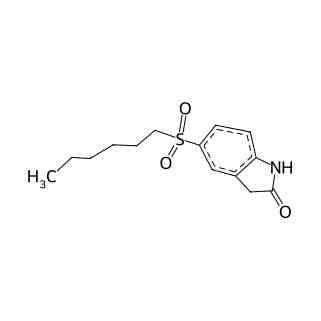 CCCCCCS(=O)(=O)c1ccc2c(c1)CC(=O)N2